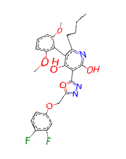 CCCCc1nc(O)c(-c2nnc(COc3ccc(F)c(F)c3)o2)c(O)c1-c1c(OC)cccc1OC